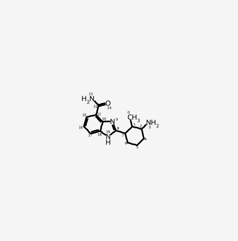 CC1C(N)CCCC1c1nc2c(C(N)=O)cccc2[nH]1